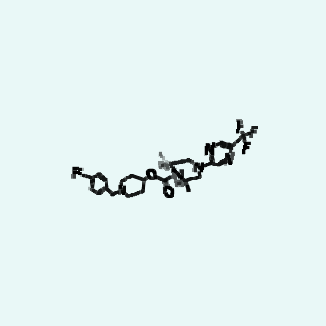 C[C@@H]1CN(c2cnc(C(F)(F)F)cn2)C[C@@H](C)N1C(=O)OC1CCN(Cc2ccc(F)cc2)CC1